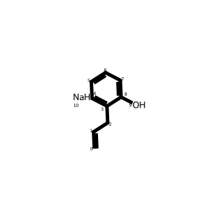 C=CCc1ccccc1O.[NaH]